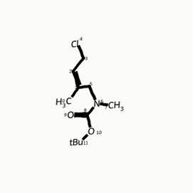 C/C(=C/CCl)CN(C)C(=O)OC(C)(C)C